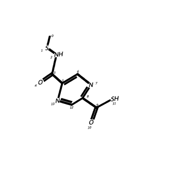 CSNC(=O)c1cnc(C(=O)S)cn1